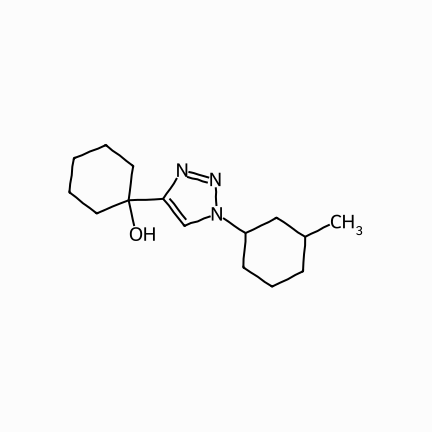 CC1CCCC(n2cc(C3(O)CCCCC3)nn2)C1